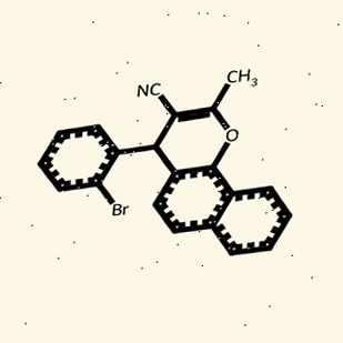 CC1=C(C#N)C(c2ccccc2Br)c2ccc3ccccc3c2O1